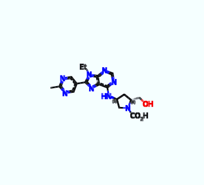 CCn1c(-c2cnc(C)nc2)nc2c(N[C@H]3C[C@H](CO)N(C(=O)O)C3)ncnc21